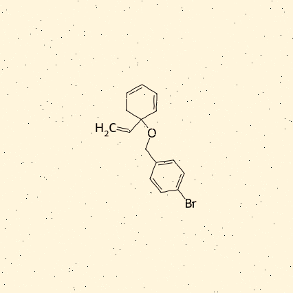 C=CC1(OCc2ccc(Br)cc2)C=CC=CC1